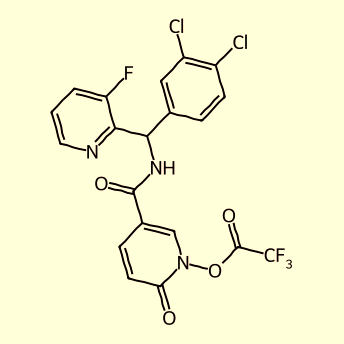 O=C(NC(c1ccc(Cl)c(Cl)c1)c1ncccc1F)c1ccc(=O)n(OC(=O)C(F)(F)F)c1